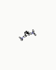 C(=C\N(c1ccccc1)c1ccccc1)/c1ccc(-c2ccc(-c3ccc(/C=C/N(c4ccccc4)c4ccccc4)cc3)c3nsnc23)cc1